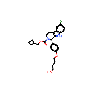 O=C(OCC1CCC1)N1CCc2c([nH]c3ccc(Cl)cc23)[C@@H]1c1ccc(OCCCCO)cc1